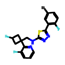 CCc1ccc(F)c(-c2nnc(NCC3(c4ncccc4F)CC(F)C3)s2)c1